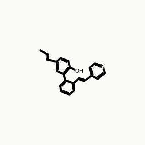 CCCc1ccc(O)c(-c2ccccc2C=Cc2ccncc2)c1